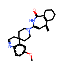 C=C1C=C(N2CCC3(CC=Nc4ccc(OC)cc43)CC2)NC(=O)C2=C1CCCC2